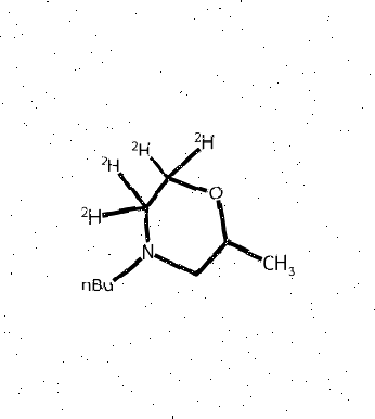 [2H]C1([2H])OC(C)CN(CCCC)C1([2H])[2H]